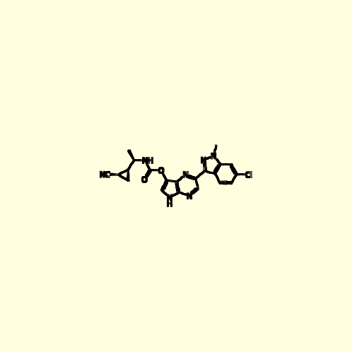 C[C@@H](NC(=O)Oc1c[nH]c2ncc(-c3nn(C)c4cc(Cl)ccc34)nc12)[C@H]1C[C@H]1C#N